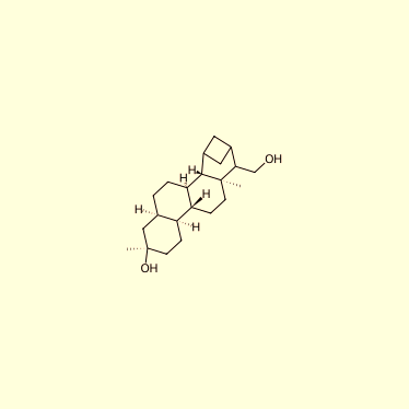 C[C@@]1(O)CC[C@H]2[C@H](CC[C@@H]3[C@@H]2CC[C@]2(C)C(CO)C4CC(C4)[C@@H]32)C1